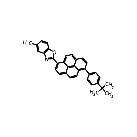 Cc1ccc2oc(-c3ccc4ccc5c(-c6ccc(C(C)(C)C)cc6)ccc6ccc3c4c65)nc2c1